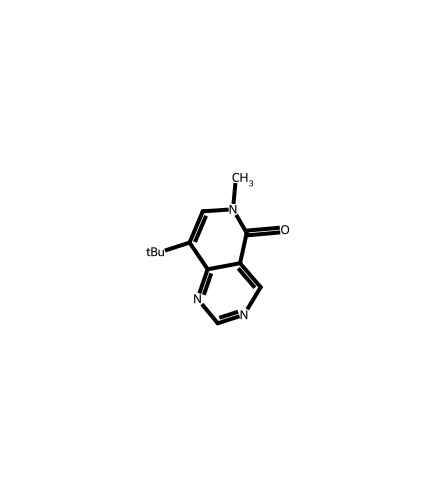 Cn1cc(C(C)(C)C)c2ncncc2c1=O